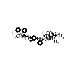 CC(C)(C)C1=COC(C)(O)C(NC(=O)NCc2ccccc2Nc2ccc3c(cnn3CCCO[Si](c3ccccc3)(c3ccccc3)C(C)(C)C)c2)=C1